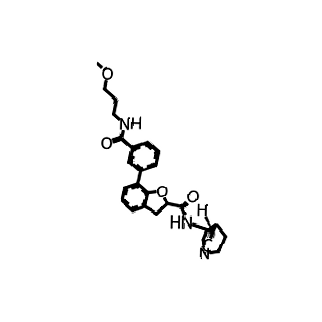 COCCCNC(=O)c1cccc(-c2cccc3c2OC(C(=O)N[C@H]2CN4CCC2CC4)C3)c1